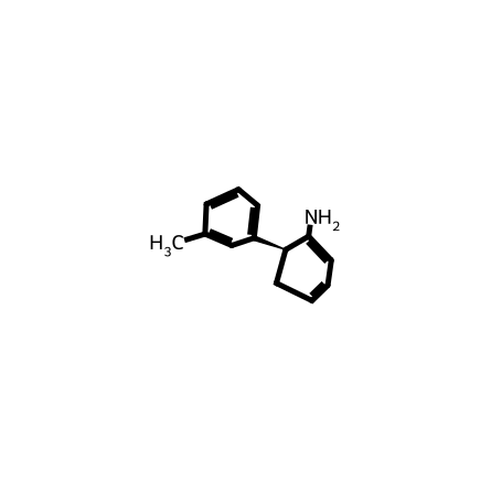 Cc1cccc([C@@H]2CC=CC=C2N)c1